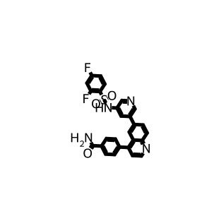 NC(=O)c1ccc(-c2ccnc3ccc(-c4cncc(NS(=O)(=O)c5ccc(F)cc5F)c4)cc23)cc1